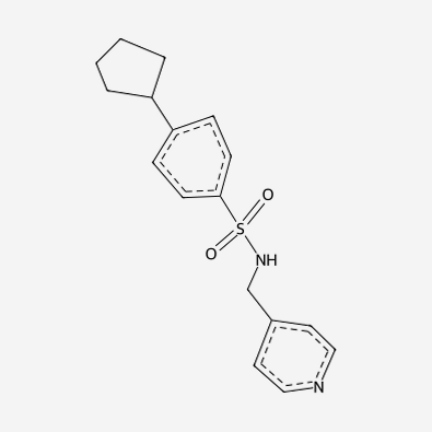 O=S(=O)(NCc1ccncc1)c1ccc(C2CCCC2)cc1